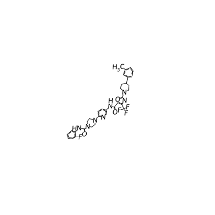 Cc1cccc(C2CCN(c3nc(C(F)(F)F)c(C(=O)Nc4ccc(N5CCN(C(=O)Nc6ccccc6F)CC5)nc4)o3)CC2)c1